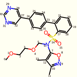 COCCOCN(c1onc(C)c1C)S(=O)(=O)c1ccccc1-c1ccc(-c2cncnc2)cc1